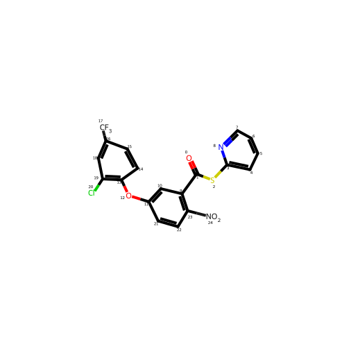 O=C(Sc1ccccn1)c1cc(Oc2ccc(C(F)(F)F)cc2Cl)ccc1[N+](=O)[O-]